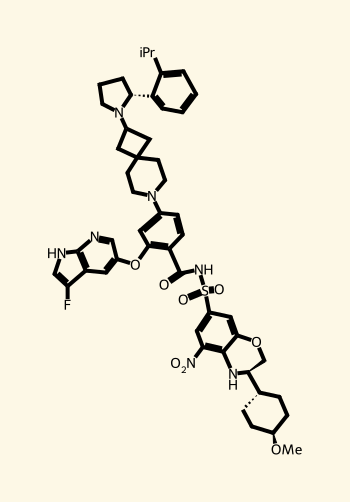 CO[C@H]1CC[C@H]([C@@H]2COc3cc(S(=O)(=O)NC(=O)c4ccc(N5CCC6(CC5)CC(N5CCC[C@@H]5c5ccccc5C(C)C)C6)cc4Oc4cnc5[nH]cc(F)c5c4)cc([N+](=O)[O-])c3N2)CC1